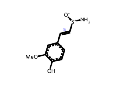 COc1cc(/C=C/[S+](N)[O-])ccc1O